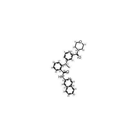 CN(c1ccnc(C(=O)N2CCOCC2)c1)c1ccccc1C(=O)Nc1cc2ccccc2cn1